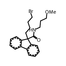 COCCCNC(=O)C1(CCCCBr)c2ccccc2-c2ccccc21